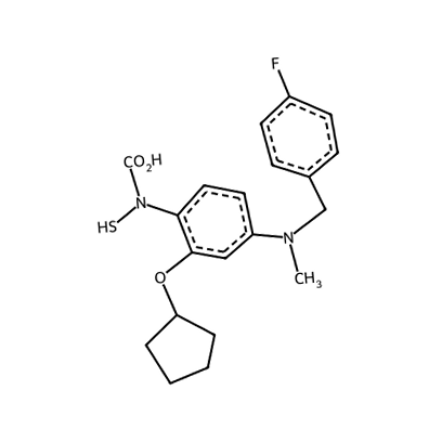 CN(Cc1ccc(F)cc1)c1ccc(N(S)C(=O)O)c(OC2CCCC2)c1